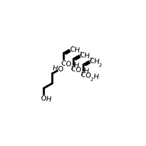 C=CC(=O)O.C=CC(=O)O.C=CC(=O)O.OCCCO